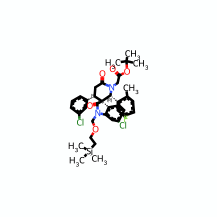 Cc1ccc(F)cc1[C@H]1N(CC(=O)OC(C)(C)C)C(=O)C[C@@H](c2cccc(Cl)c2)[C@]12C(=O)N(COCC[Si](C)(C)C)c1cc(Cl)ccc12